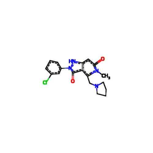 Cn1c(CN2CCCC2)c2c(=O)n(-c3cccc(Cl)c3)[nH]c2cc1=O